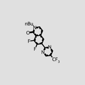 CCCCn1ccc2cc(-c3ncc(C(F)(F)F)cn3)c(F)c(F)c2c1=O